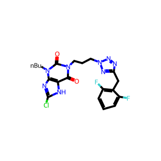 CCCCn1c(=O)n(CCCn2nnc(Cc3c(F)cccc3F)n2)c(=O)c2[nH]c(Cl)nc21